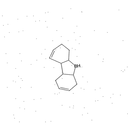 B1C2CCC=CC2C2CC=CCC12